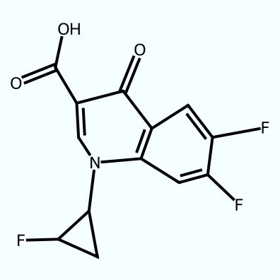 O=C(O)c1cn(C2CC2F)c2cc(F)c(F)cc2c1=O